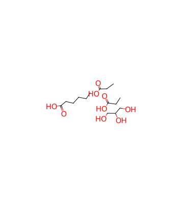 CCC(=O)O.CCC(=O)O.CCCCCC(=O)O.OCC(O)CO